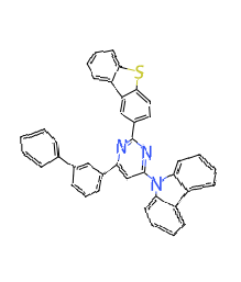 c1ccc(-c2cccc(-c3cc(-n4c5ccccc5c5ccccc54)nc(-c4ccc5sc6ccccc6c5c4)n3)c2)cc1